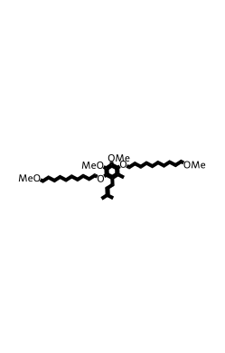 COCCCCCCCCCCOc1c(C)c(CC=C(C)C)c(OCCCCCCCCCCOC)c(OC)c1OC